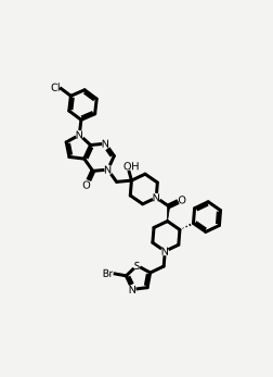 O=C([C@@H]1CCN(Cc2cnc(Br)s2)C[C@H]1c1ccccc1)N1CCC(O)(Cn2cnc3c(ccn3-c3cccc(Cl)c3)c2=O)CC1